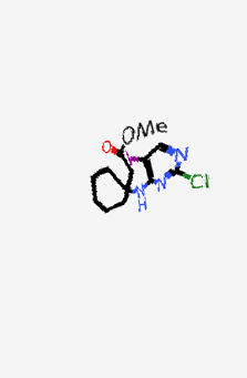 COC(=O)CC1(Nc2nc(Cl)ncc2I)CCCCC1